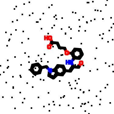 O=C/C(=C/c1ccc2c(ccn2Cc2ccccc2)c1)Nc1ccccc1OCCCC(=O)O